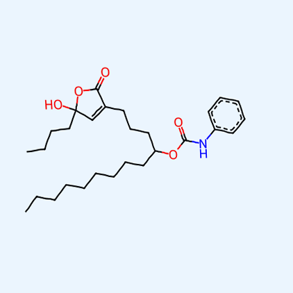 CCCCCCCCCC(CCCC1=CC(O)(CCCC)OC1=O)OC(=O)Nc1ccccc1